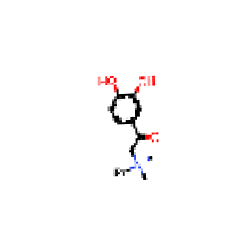 CC(C)[N+](C)(C)CC(=O)c1ccc(O)c(O)c1